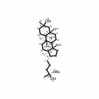 CCCC[C@@](C)(O)CCC[C@H]1CC[C@H]2[C@@H]3CC[C@H]4C[C@@](C)(O)CC[C@]4(C)[C@H]3CC[C@]12C